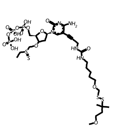 CCS(=S)COC1C[C@H](n2cc(C#CCNC(=O)NCCCCCOCSSC(C)(C)CCOC)c(N)nc2=O)O[C@@H]1COP(=O)(O)OP(=O)(O)OP(=O)(O)O